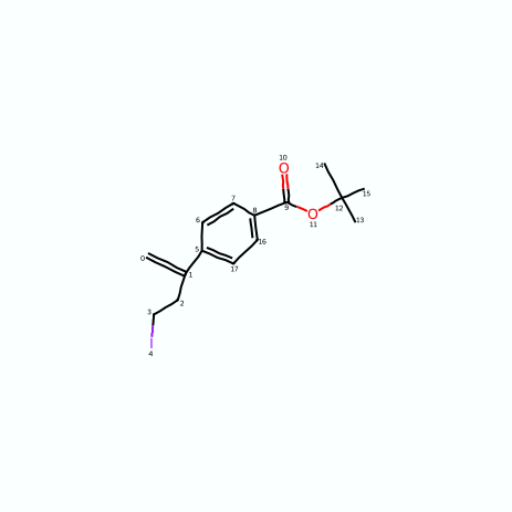 C=C(CCI)c1ccc(C(=O)OC(C)(C)C)cc1